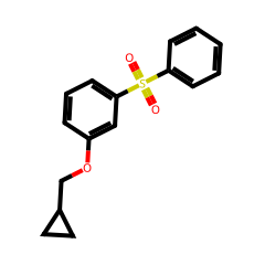 O=S(=O)(c1ccccc1)c1cccc(OCC2CC2)c1